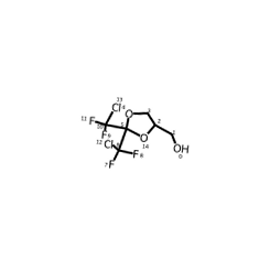 OCC1COC(C(F)(F)Cl)(C(F)(F)Cl)O1